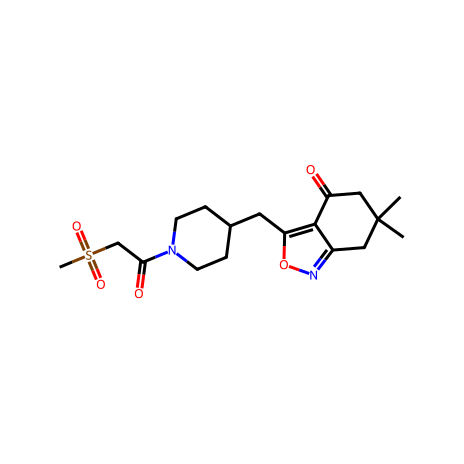 CC1(C)CC(=O)c2c(noc2CC2CCN(C(=O)CS(C)(=O)=O)CC2)C1